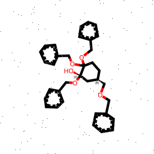 O[C@]1(OCc2ccccc2)C[C@H](COCc2ccccc2)CCC1(OCc1ccccc1)OCc1ccccc1